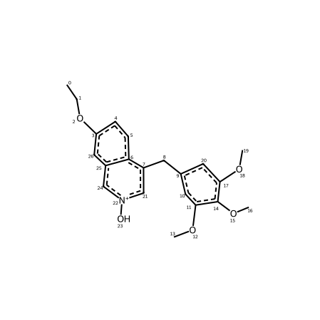 CCOc1ccc2c(Cc3cc(OC)c(OC)c(OC)c3)c[n+](O)cc2c1